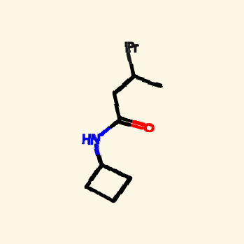 CC(C)C(C)CC(=O)NC1CCC1